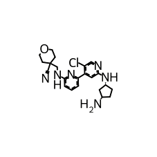 N#CC1(CNc2cccc(-c3cc(N[C@@H]4CC[C@@H](N)C4)ncc3Cl)n2)CCOCC1